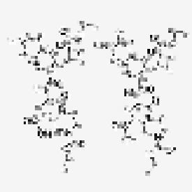 CCOC(=O)N1CCN(C(=O)C(CCC(=O)O)NC(=O)c2cc(OC3(C(=O)OCC)CCC3)c3cc(C)c(Cl)cc3n2)CC1.CCOC(=O)N1CCN(C(=O)C(CCC(=O)O)NC(=O)c2cc(OC3(C(=O)OCC)CCC3)c3ccc(C)cc3n2)CC1